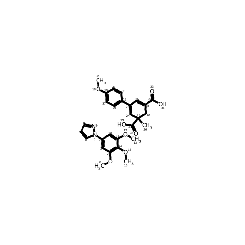 COc1cc(-n2cccn2)cc(OC)c1OC.COc1ccc(C2=CC(C)(C(=O)O)CC(C(=O)O)=C2)cc1